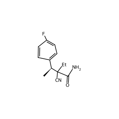 CCC(C#N)(C(N)=O)[C@@H](C)c1ccc(F)cc1